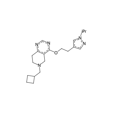 CC(C)n1cc(CCOc2ncnc3c2CN(CC2CCC2)CC3)cn1